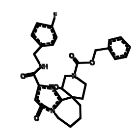 O=C(NCc1ccc(F)cc1)c1cc(=O)n2c(n1)C1(CCCC2)CCN(C(=O)OCc2ccccc2)CC1O